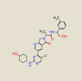 Cc1cccc(C(CO)NC(=O)C(C)N2Cc3ncc(-c4nc(N[C@H]5CC[C@H](O)CC5)ncc4Cl)cc3C2=O)c1